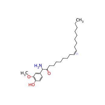 CCCCCCCC/C=C\CCCCCCCC(=O)C(N)c1ccc(O)c(OC)c1